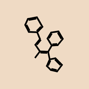 CC(C=Cc1ccccc1)=C(c1ccccc1)c1ccccc1